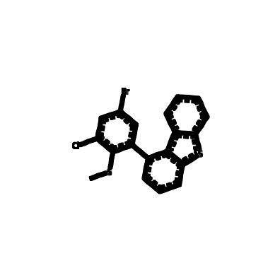 CSc1c(Cl)cc(Br)cc1-c1cccc2sc3ccccc3c12